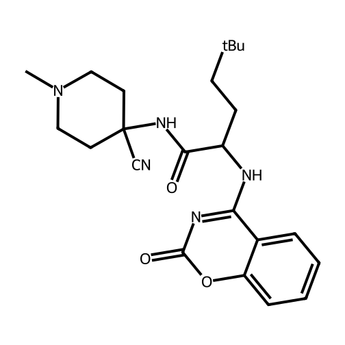 CN1CCC(C#N)(NC(=O)C(CCC(C)(C)C)Nc2nc(=O)oc3ccccc23)CC1